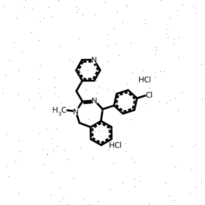 CN1Cc2ccccc2C(c2ccc(Cl)cc2)N=C1Cc1ccncc1.Cl.Cl